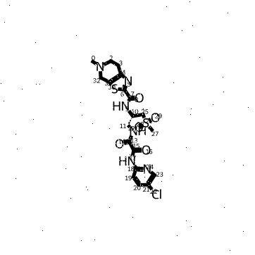 CN1CCc2nc(C(=O)N[C@@H](CNC(=O)C(=O)Nc3ccc(Cl)cn3)CS(C)(=O)=O)sc2C1